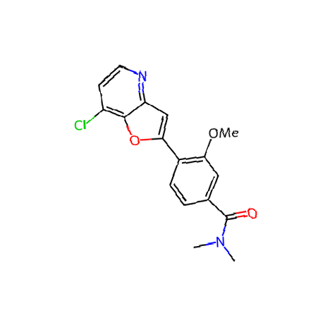 COc1cc(C(=O)N(C)C)ccc1-c1cc2nccc(Cl)c2o1